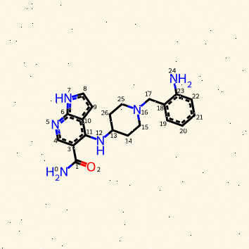 NC(=O)c1cnc2[nH]ccc2c1NC1CCN(Cc2ccccc2N)CC1